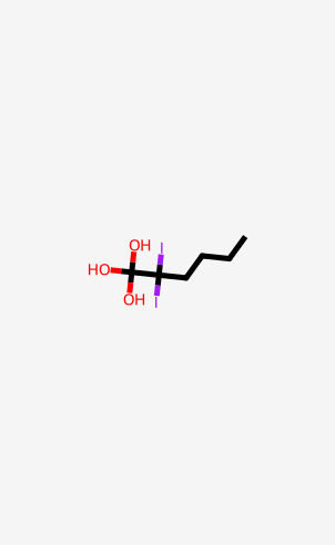 CCCCC(I)(I)C(O)(O)O